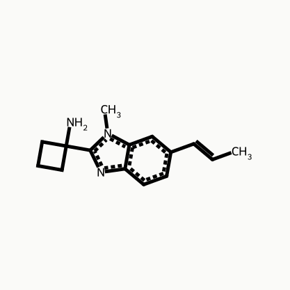 C/C=C/c1ccc2nc(C3(N)CCC3)n(C)c2c1